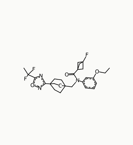 CCOc1cccc(N(CC23CCC(c4noc(C(C)(F)F)n4)(CC2)CC3)C(=O)C23CC(F)(C2)C3)c1